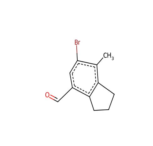 Cc1c(Br)cc(C=O)c2c1CCC2